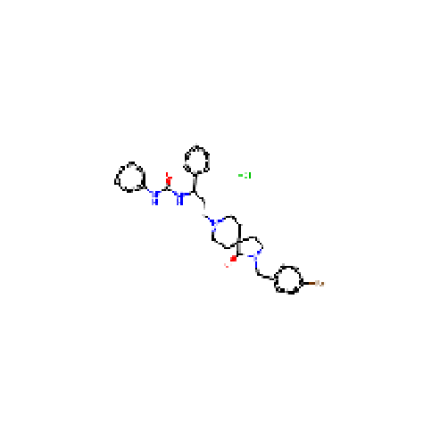 Cl.O=C(Nc1ccccc1)NC(CCN1CCC2(CC1)CCN(Cc1ccc(Br)cc1)C2=O)c1ccccc1